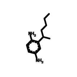 CCCCC(C)c1cc(N)ccc1N